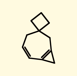 C1=CC2=C(C2)CC2(C1)CCC2